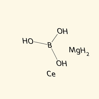 OB(O)O.[Ce].[MgH2]